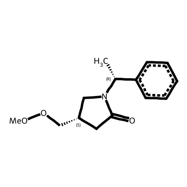 COOC[C@H]1CC(=O)N([C@H](C)c2ccccc2)C1